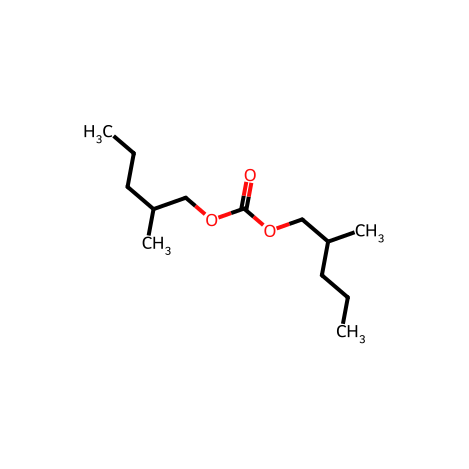 CCCC(C)COC(=O)OCC(C)CCC